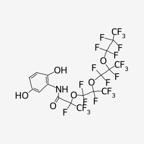 O=C(Nc1cc(O)ccc1O)C(F)(OC(F)(F)C(F)(OC(F)(F)C(F)(OC(F)(F)C(F)(F)C(F)(F)F)C(F)(F)F)C(F)(F)F)C(F)(F)F